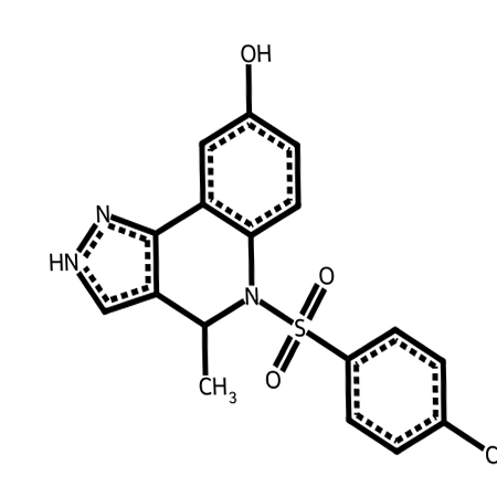 CC1c2c[nH]nc2-c2cc(O)ccc2N1S(=O)(=O)c1ccc(Cl)cc1